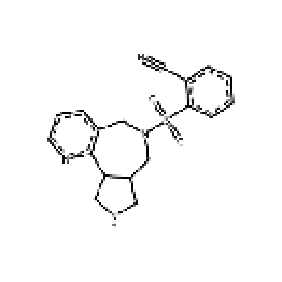 N#Cc1ccccc1S(=O)(=O)N1Cc2cccnc2C2CNCC2C1